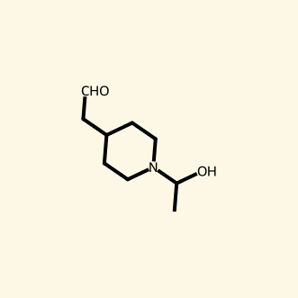 CC(O)N1CCC(CC=O)CC1